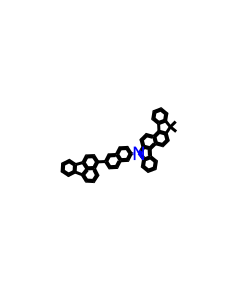 CC1(C)c2ccccc2-c2c1ccc1c2ccc2c1c1ccccc1n2-c1ccc2cc(-c3ccc4c5c(cccc35)-c3ccccc3-4)ccc2c1